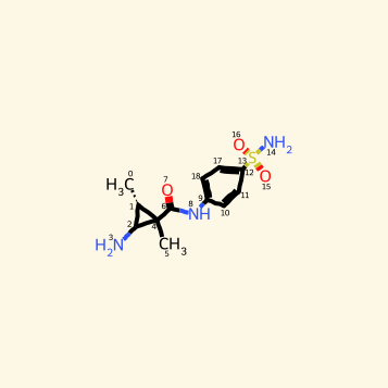 C[C@H]1C(N)C1(C)C(=O)Nc1ccc(S(N)(=O)=O)cc1